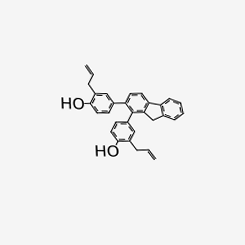 C=CCc1cc(-c2ccc3c(c2-c2ccc(O)c(CC=C)c2)Cc2ccccc2-3)ccc1O